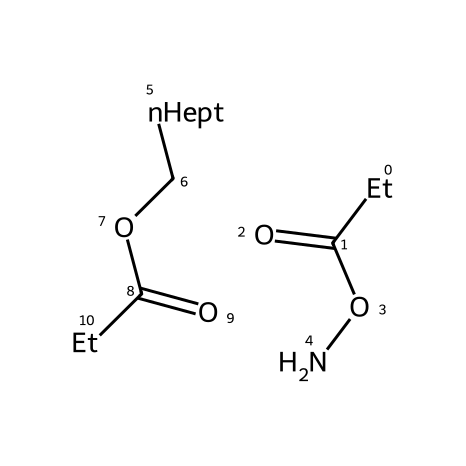 CCC(=O)ON.CCCCCCCCOC(=O)CC